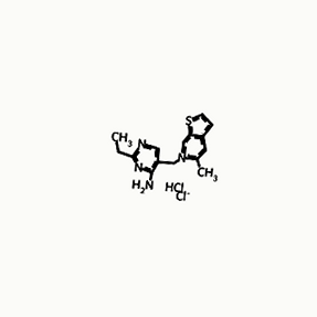 CCc1ncc(C[n+]2cc3sccc3cc2C)c(N)n1.Cl.[Cl-]